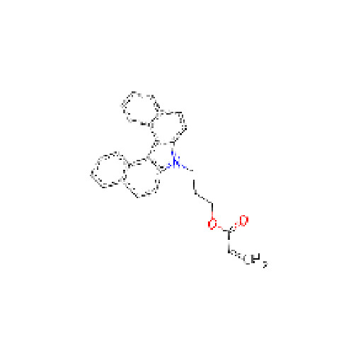 C=CC(=O)OCCCn1c2ccc3ccccc3c2c2c3ccccc3ccc21